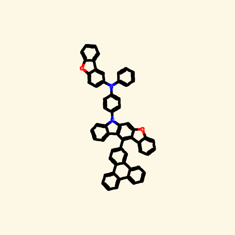 c1ccc(N(c2ccc(-n3c4ccccc4c4c(-c5ccc6c7ccccc7c7ccccc7c6c5)c5c(cc43)oc3ccccc35)cc2)c2ccc3oc4ccccc4c3c2)cc1